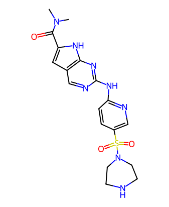 CN(C)C(=O)c1cc2cnc(Nc3ccc(S(=O)(=O)N4CCNCC4)cn3)nc2[nH]1